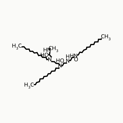 CCCCCCCCCCCCCCNC(=O)CCNCC(O)CN(CCCCCCCCCCCCCC)CCCCN(CCCCCCCCCCCCCC)CC(O)CNC